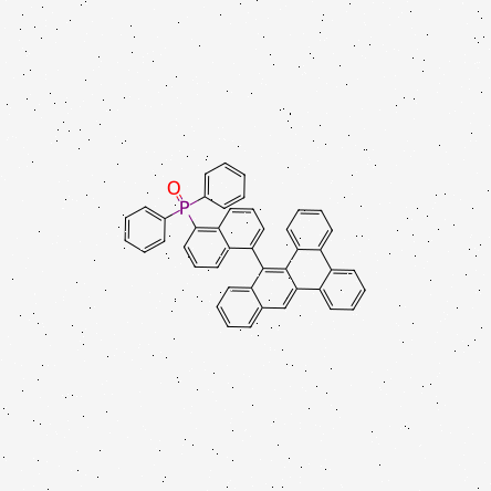 O=P(c1ccccc1)(c1ccccc1)c1cccc2c(-c3c4ccccc4cc4c5ccccc5c5ccccc5c34)cccc12